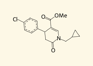 COC(=O)C1=CN(CC2CC2)C(=O)CC1c1ccc(Cl)cc1